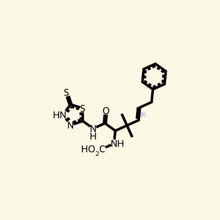 CC(C)(/C=C/Cc1ccccc1)C(NC(=O)O)C(=O)Nc1n[nH]c(=S)s1